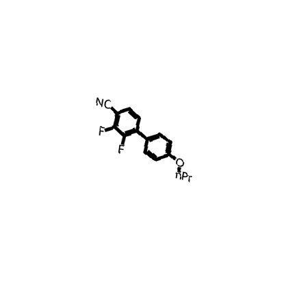 CCCOc1ccc(-c2ccc(C#N)c(F)c2F)cc1